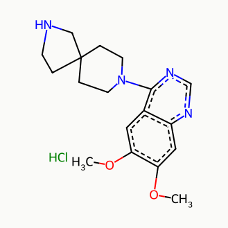 COc1cc2ncnc(N3CCC4(CCNC4)CC3)c2cc1OC.Cl